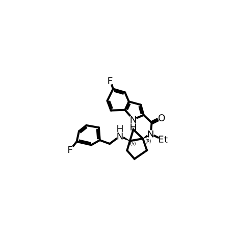 CCN(C(=O)c1cc2cc(F)ccc2[nH]1)[C@@]12CCC[C@]1(NCc1cccc(F)c1)C2